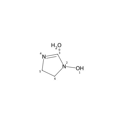 O.ON1C=NCC1